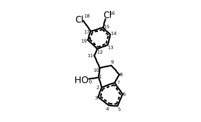 OC1c2ccccc2CCC1Cc1ccc(Cl)c(Cl)c1